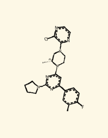 Cc1cc(-c2cc(N3CCN(c4nccnc4Cl)C[C@H]3C)nc(N3CCCC3)n2)ccc1F